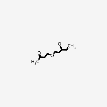 CCC([O])CCOCCC(C)=O